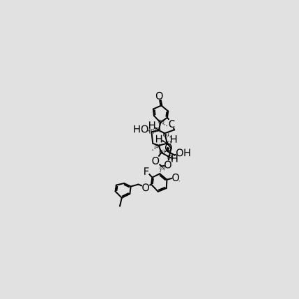 COc1ccc(OCc2cccc(C)c2)c(F)c1[C@H]1O[C@@H]2C[C@H]3[C@@H]4CCC5=CC(=O)C=C[C@]5(C)[C@H]4[C@@H](O)C[C@]3(C)[C@]2(C(=O)CO)O1